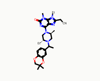 CC[C@@H]1CN(c2nc(=O)n(C)c3c2nc(CC#N)n3CC)[C@@H](C)CN1C(C)c1ccc2c(c1)OC(C)(C)CO2